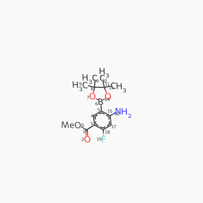 COC(=O)c1cc(B2OC(C)(C)C(C)(C)O2)c(N)cc1F